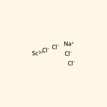 [Cl-].[Cl-].[Cl-].[Cl-].[Na+].[Sc+3]